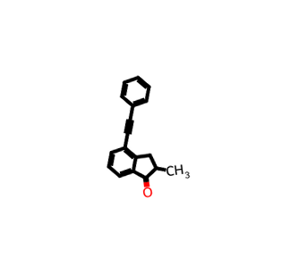 CC1Cc2c(C#Cc3ccccc3)cccc2C1=O